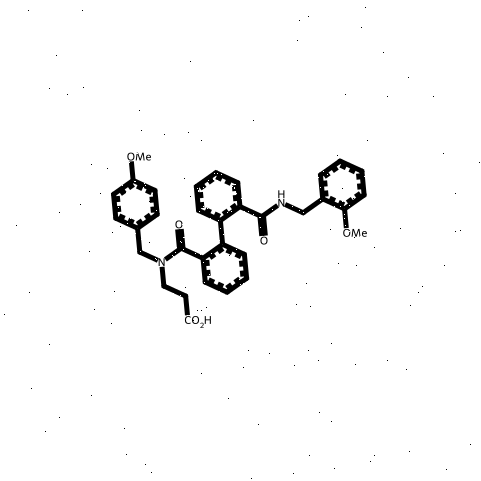 COc1ccc(CN(CCC(=O)O)C(=O)c2ccccc2-c2ccccc2C(=O)NCc2ccccc2OC)cc1